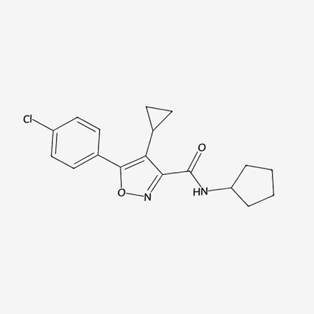 O=C(NC1CCCC1)c1noc(-c2ccc(Cl)cc2)c1C1CC1